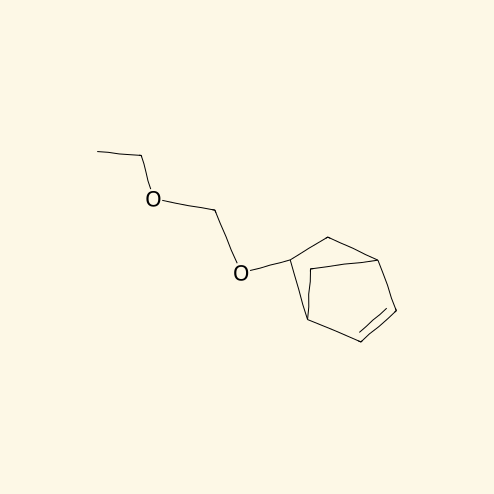 CCOCOC1CC2C=CC1C2